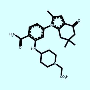 Cc1cc2c(n1-c1ccc(C(N)=O)c(NC3CCN(CC(=O)O)CC3)c1)CC(C)(C)CC2=O